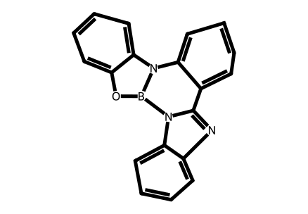 c1ccc2c(c1)OB1N2c2ccccc2-c2nc3ccccc3n21